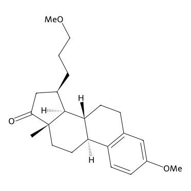 COCCC[C@@H]1CC(=O)[C@@]2(C)CC[C@@H]3c4ccc(OC)cc4CC[C@H]3[C@H]12